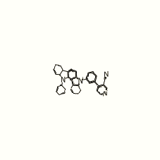 N#Cc1cnccc1-c1cccc(-n2c3c(c4c5c(ccc42)C2CCC=CC2N5C2C=CC=CC2)C=CCC3)c1